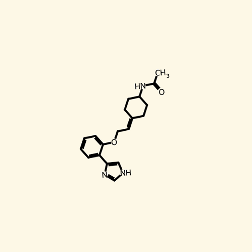 CC(=O)NC1CCC(=CCOc2ccccc2-c2c[nH]cn2)CC1